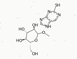 COC1O[C@H](CO)[C@@H](O)[C@H](O)[C@H]1O.Sc1ncc2[nH]cnc2n1